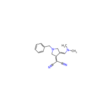 CN(C)C=C1CN(Cc2ccccc2)CC1=C(C#N)C#N